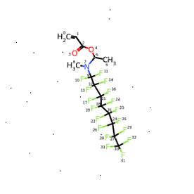 C=CC(=O)OC(C)N(C)C(F)(F)C(F)(F)C(F)(F)C(F)(F)C(F)(F)C(F)(F)C(F)(F)C(F)(F)F